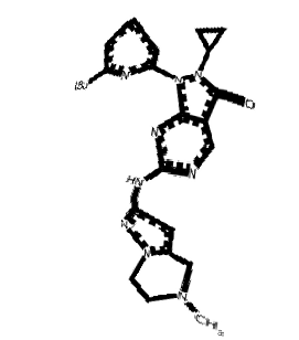 CN1CCn2nc(Nc3ncc4c(=O)n(C5CC5)n(-c5cccc(C(C)(C)C)n5)c4n3)cc2C1